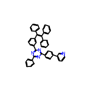 c1ccc(C(=C(c2ccccc2)c2cccc(-c3nc(-c4ccccc4)nc(-c4ccc(-c5cccnc5)cc4)n3)c2)c2ccccc2)cc1